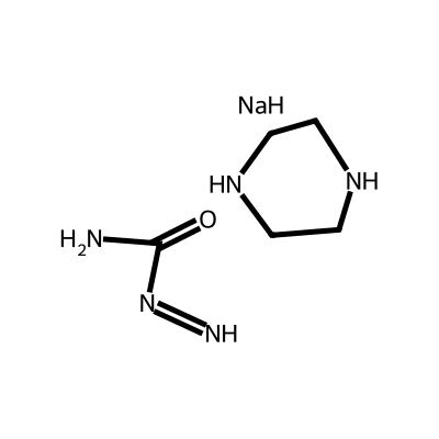 C1CNCCN1.N=NC(N)=O.[NaH]